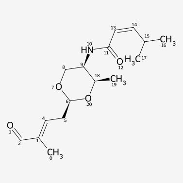 C/C(C=O)=C\C[C@H]1OC[C@@H](NC(=O)/C=C\C(C)C)[C@@H](C)O1